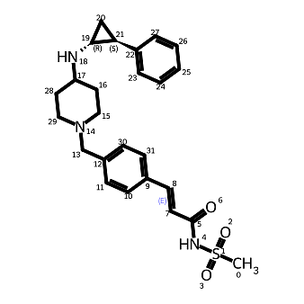 CS(=O)(=O)NC(=O)/C=C/c1ccc(CN2CCC(N[C@@H]3C[C@H]3c3ccccc3)CC2)cc1